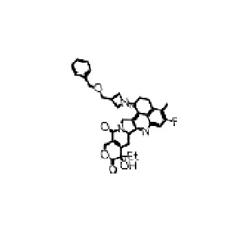 CC[C@@]1(O)C(=O)OCc2c1cc1n(c2=O)Cc2c-1nc1cc(F)c(C)c3c1c2[C@@H](N1CC(COCc2ccccc2)C1)CC3